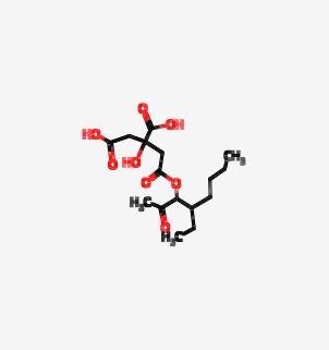 CCCCC(CC)C(OC(=O)CC(O)(CC(=O)O)C(=O)O)C(C)=O